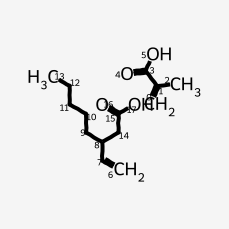 C=C(C)C(=O)O.C=CC(CCCCC)CC(=O)O